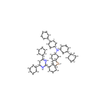 c1ccc(-c2ccc(N(c3cccc(-c4ccccc4)c3)c3ccc4c(c3)sc3cccc(-c5nc(-c6ccccc6)cc(-c6ccccc6)n5)c34)cc2)cc1